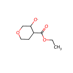 CCOC(=O)C1CCOCC1[O]